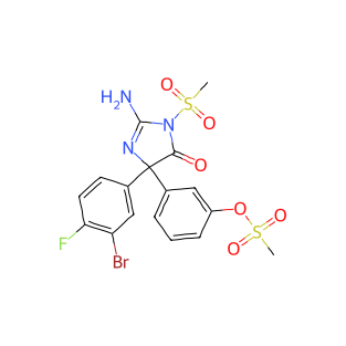 CS(=O)(=O)Oc1cccc(C2(c3ccc(F)c(Br)c3)N=C(N)N(S(C)(=O)=O)C2=O)c1